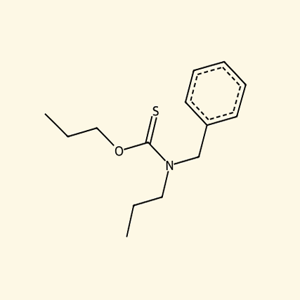 CCCOC(=S)N(CCC)Cc1ccccc1